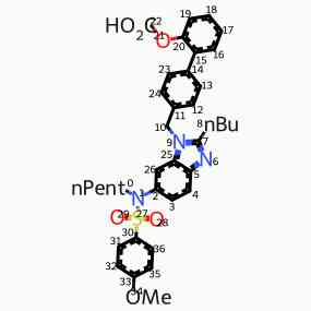 CCCCCN(c1ccc2nc(CCCC)n(Cc3ccc(-c4ccccc4OC(=O)O)cc3)c2c1)S(=O)(=O)c1ccc(OC)cc1